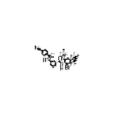 N#Cc1ccc(C(=O)Nc2cccc(C(=O)Nc3c(Br)cc(C(F)(C(F)(F)F)C(F)(F)F)cc3OC(F)(F)F)c2)cc1